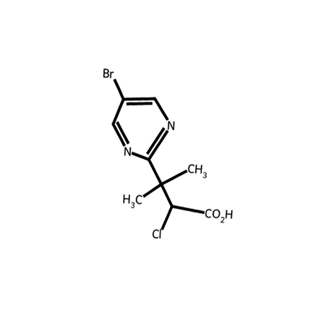 CC(C)(c1ncc(Br)cn1)C(Cl)C(=O)O